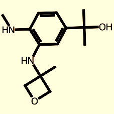 CNc1ccc(C(C)(C)O)cc1NC1(C)COC1